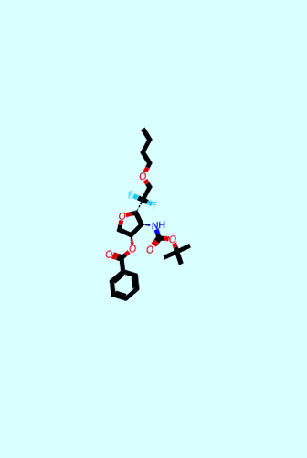 CCCCOCC(F)(F)[C@H]1OC[C@H](OC(=O)c2ccccc2)[C@H]1NC(=O)OC(C)(C)C